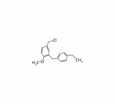 CCc1ccc(Cc2cc(CCl)ccc2OC)cc1